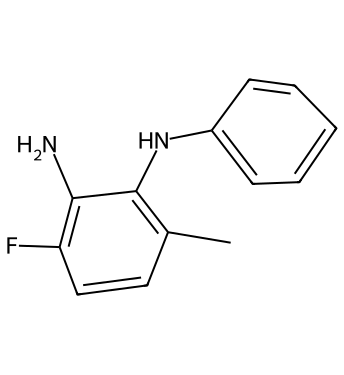 Cc1ccc(F)c(N)c1Nc1ccccc1